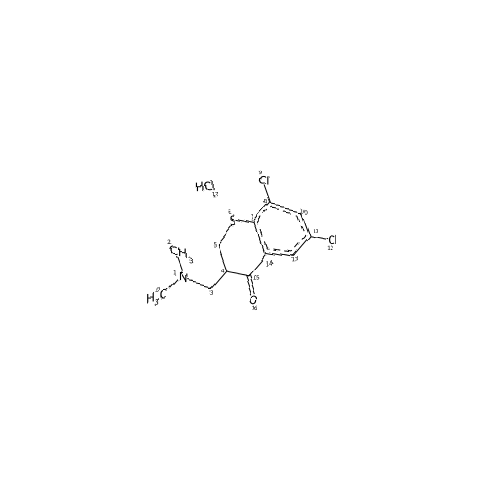 CN(C)CC1CSc2c(Cl)cc(Cl)cc2C1=O.Cl